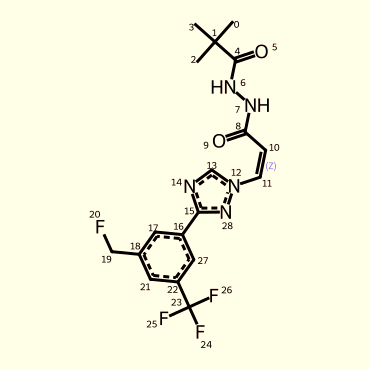 CC(C)(C)C(=O)NNC(=O)/C=C\n1cnc(-c2cc(CF)cc(C(F)(F)F)c2)n1